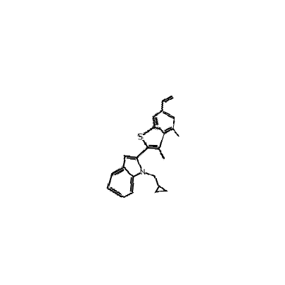 C=Cc1cc(C)c2c(C)c(-c3cc4ccccc4n3CC3CC3)sc2c1